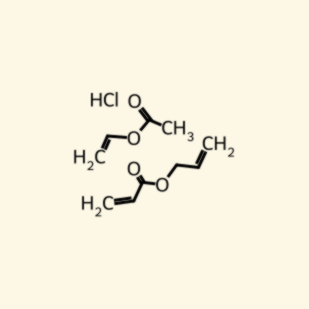 C=CCOC(=O)C=C.C=COC(C)=O.Cl